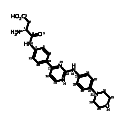 N[C@H](CC(=O)O)C(=O)Nc1ccc(-c2ccnc(Nc3ccc(N4CCOCC4)cc3)n2)cc1